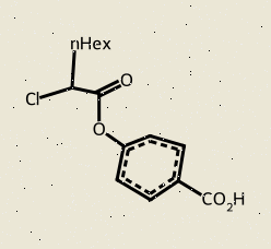 CCCCCCC(Cl)C(=O)Oc1ccc(C(=O)O)cc1